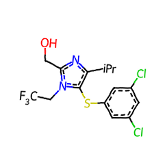 CC(C)c1nc(CO)n(CC(F)(F)F)c1Sc1cc(Cl)cc(Cl)c1